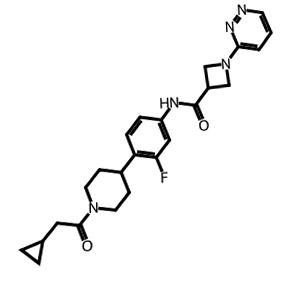 O=C(Nc1ccc(C2CCN(C(=O)CC3CC3)CC2)c(F)c1)C1CN(c2cccnn2)C1